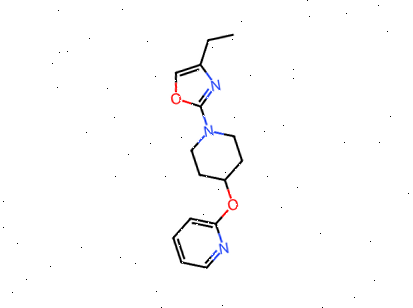 CCc1coc(N2CCC(Oc3ccccn3)CC2)n1